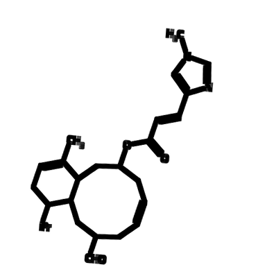 CC1=CCC(C(C)C)C2CC(C=O)C/C=C\CC(OC(=O)/C=C/c3cn(C)cn3)CC12